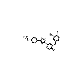 O=c1ccc(-c2nc(-c3ccc(OC(F)(F)F)cc3)no2)cn1Cc1ccc(F)c(Br)c1